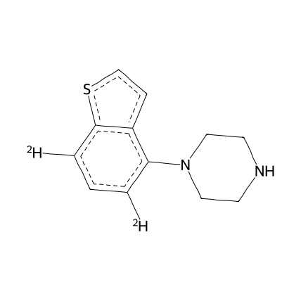 [2H]c1cc([2H])c2sccc2c1N1CCNCC1